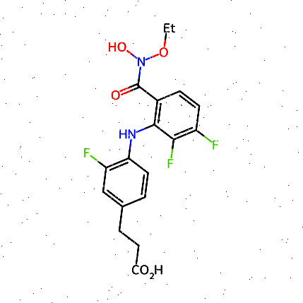 CCON(O)C(=O)c1ccc(F)c(F)c1Nc1ccc(CCC(=O)O)cc1F